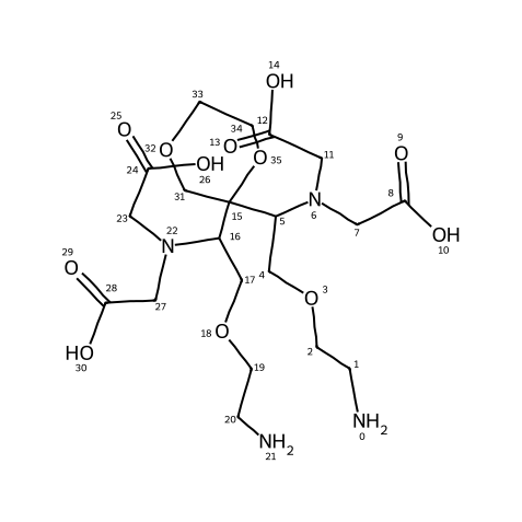 NCCOCC(N(CC(=O)O)CC(=O)O)C1(C(COCCN)N(CC(=O)O)CC(=O)O)COCCO1